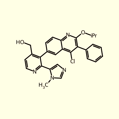 CC(C)Oc1nc2ccc(-c3c(CO)ccnc3-c3cncn3C)cc2c(Cl)c1-c1ccccc1